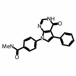 CNC(=O)c1ccc(-n2cc(-c3ccccc3)c3c(=O)[nH]cnc32)cc1